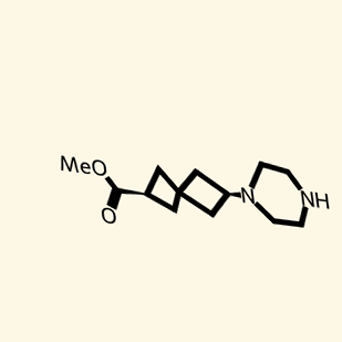 COC(=O)[C@H]1CC2(C1)C[C@H](N1CCNCC1)C2